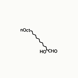 CCCCCCCCCCCCCCCCCC(O)C=O